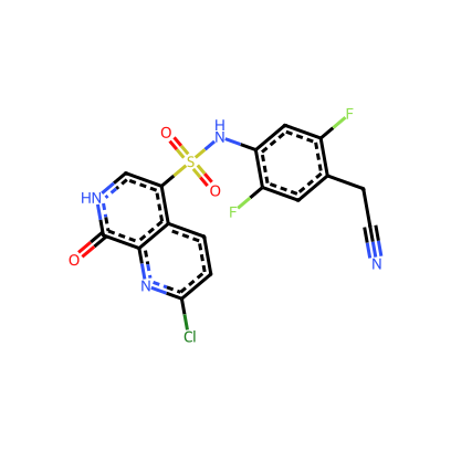 N#CCc1cc(F)c(NS(=O)(=O)c2c[nH]c(=O)c3nc(Cl)ccc23)cc1F